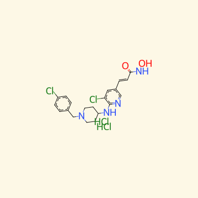 Cl.Cl.O=C(C=Cc1cnc(NC2CCN(Cc3ccc(Cl)cc3)CC2)c(Cl)c1)NO